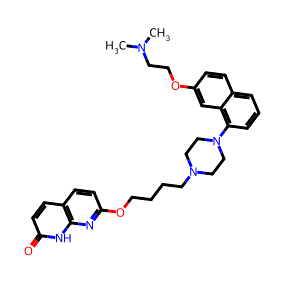 CN(C)CCOc1ccc2cccc(N3CCN(CCCCOc4ccc5ccc(=O)[nH]c5n4)CC3)c2c1